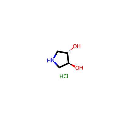 Cl.O[C@H]1CNC[C@@H]1O